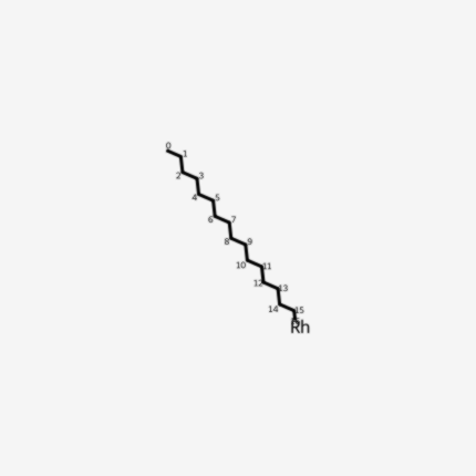 CCCCCCCCCCCCCCC[CH2][Rh]